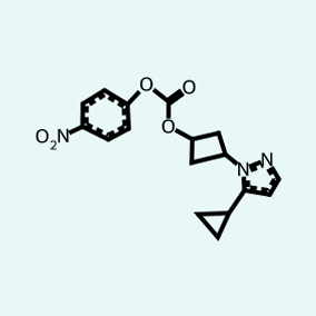 O=C(Oc1ccc([N+](=O)[O-])cc1)OC1CC(n2nccc2C2CC2)C1